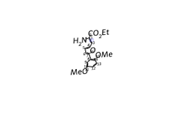 CCOC(=O)/C(N)=C/c1ccc(-c2cc(OC)ccc2OC)o1